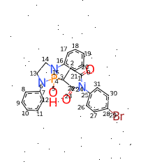 O=C1CC([P]2(O)N(c3ccccc3)CCN2c2ccccc2)C(=O)N1c1ccc(Br)cc1